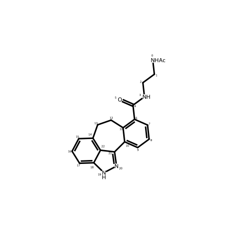 CC(=O)NCCNC(=O)c1cccc2c1CCc1cccc3[nH]nc-2c13